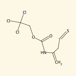 C=C(C[C]=S)NC(=O)OCC(Cl)(Cl)Cl